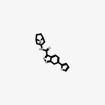 CN1C2CCC1CC(NC(=O)C1=NN=C3CC(c4ccco4)=CC=C31)C2